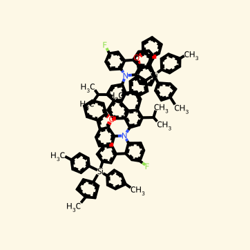 Cc1ccc([Si](c2ccc(C)cc2)(c2ccc(C)cc2)c2cccc(-c3cc(F)ccc3N(c3cc(C(C)C)c4ccc5c(N(c6ccc(F)cc6-c6cccc([Si](c7ccc(C)cc7)(c7ccc(C)cc7)c7ccc(C)cc7)c6)c6cccc7c6oc6ccccc67)cc(C(C)C)c6ccc3c4c65)c3cccc4c3oc3ccccc34)c2)cc1